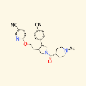 CC(=O)N1CCC(C(=O)N2CC(CCOc3ccc(C#N)cn3)C(c3ccc(C#N)cc3)C2)CC1